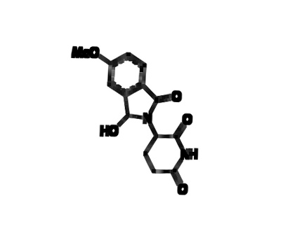 COc1ccc2c(c1)C(O)N(C1CCC(=O)NC1=O)C2=O